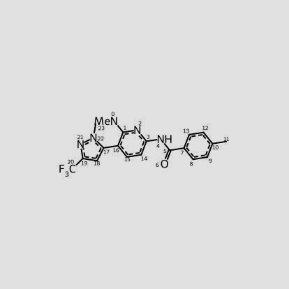 CNc1nc(NC(=O)c2ccc(C)cc2)ccc1-c1cc(C(F)(F)F)nn1C